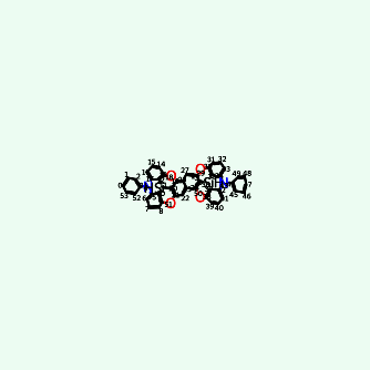 c1ccc(N2c3cccc4c3[SiH]3c5c(cccc52)Oc2c3c(cc3c5c6c(cc23)Oc2cccc3c2[SiH]6c2c(cccc2N3c2ccccc2)O5)O4)cc1